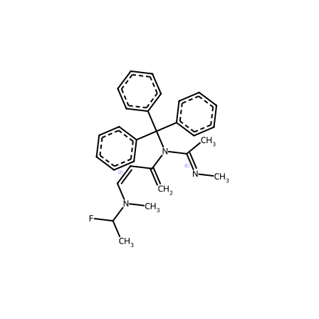 C=C(/C=C\N(C)C(C)F)N(/C(C)=N/C)C(c1ccccc1)(c1ccccc1)c1ccccc1